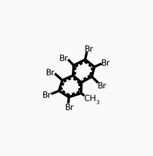 Cc1c(Br)c(Br)c(Br)c2c(Br)c(Br)c(Br)c(Br)c12